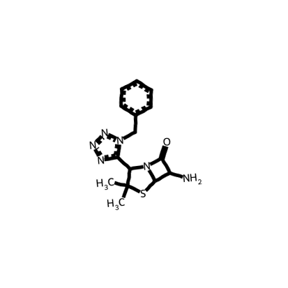 CC1(C)SC2C(N)C(=O)N2C1c1nnnn1Cc1ccccc1